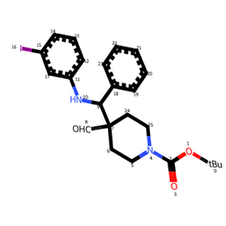 CC(C)(C)OC(=O)N1CCC(C=O)(C(Nc2cccc(I)c2)c2ccccc2)CC1